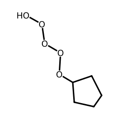 OOOOOC1CCCC1